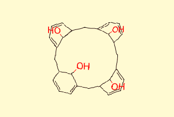 OC1C2=CC=CC1CC1=CC=CC(CC3=CC=CC(CC4=CC=CC(C2)C4O)C3O)C1O